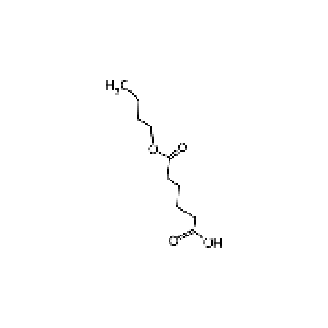 CCCCOC(=O)CCCCC(=O)O